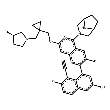 C#Cc1c(F)ccc2cc(O)cc(-c3nc4nc(OCC5(CN6CC[C@@H](F)C6)CC5)nc(N5CC6CCC(C5)N6)c4cc3F)c12